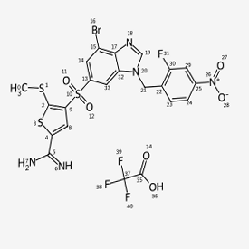 CSc1sc(C(=N)N)cc1S(=O)(=O)c1cc(Br)c2ncn(Cc3ccc([N+](=O)[O-])cc3F)c2c1.O=C(O)C(F)(F)F